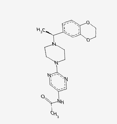 CC(=O)Nc1cnc(N2CCN([C@@H](C)c3ccc4c(c3)OCCO4)CC2)nc1